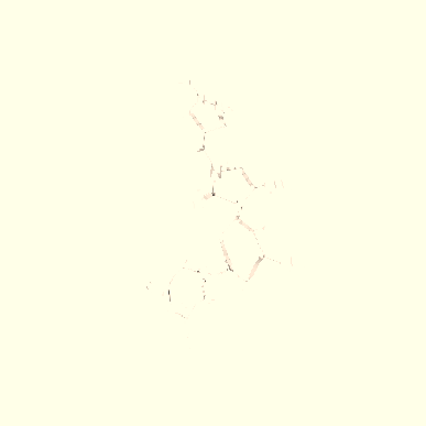 CCn1cc(Cn2cc(C)n(-c3cc(N4C[C@@H](C)O[C@@H](C)C4)cc(C(F)(F)F)c3)c2=O)cn1